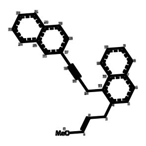 CO/C=C/Cc1ccc2ccccc2c1CC#Cc1ccc2ccccc2c1